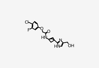 O=C(COc1ccc(Cl)c(F)c1)NC12CC(c3nc(CO)c[nH]3)(C1)C2